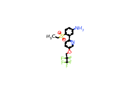 CCS(=O)(=O)c1ccc(N)cc1-c1ccc(OCC(F)(F)C(F)(F)F)cn1